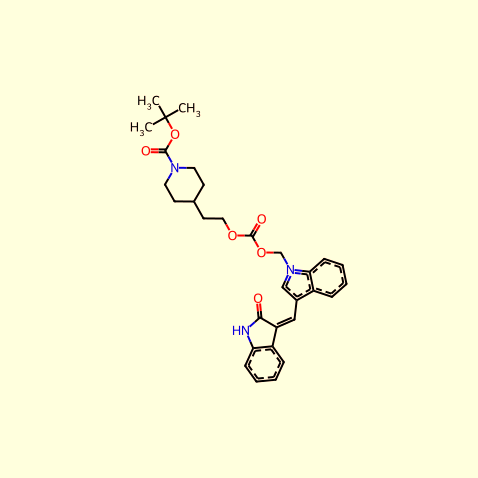 CC(C)(C)OC(=O)N1CCC(CCOC(=O)OCn2cc(C=C3C(=O)Nc4ccccc43)c3ccccc32)CC1